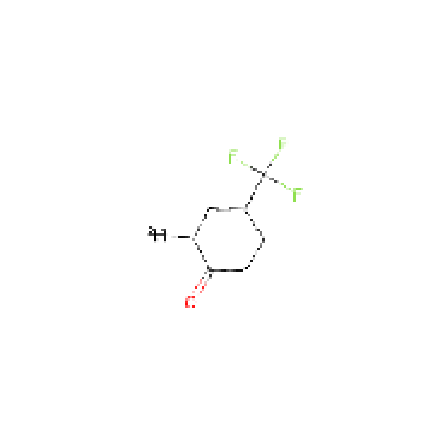 [2H]C1CC(C(F)(F)F)CCC1=O